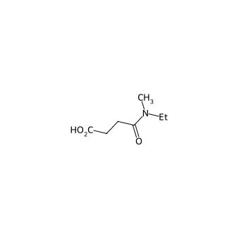 CCN(C)C(=O)CCC(=O)O